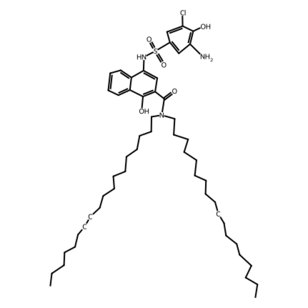 CCCCCCCCCCCCCCCCCCN(CCCCCCCCCCCCCCCCCC)C(=O)c1cc(NS(=O)(=O)c2cc(N)c(O)c(Cl)c2)c2ccccc2c1O